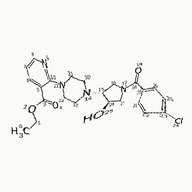 CCOC(=O)c1cccnc1N1CCN([C@@H]2CN(C(=O)c3ccc(Cl)cc3)C[C@H]2O)CC1